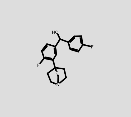 OC(c1ccc(F)cc1)c1ccc(F)c(C23CCN(CC2)CC3)c1